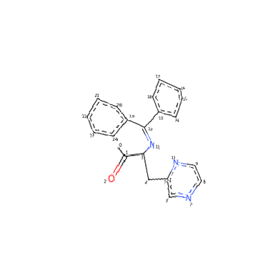 CC(=O)C(Cc1cnccn1)N=C(c1ccccc1)c1ccccc1